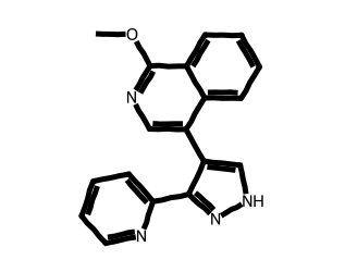 COc1ncc(-c2c[nH]nc2-c2ccccn2)c2ccccc12